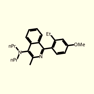 CCCN(CCC)c1c(C)nc(-c2ccc(OC)cc2CC)c2ccccc12